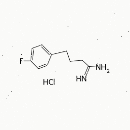 Cl.N=C(N)CCCc1ccc(F)cc1